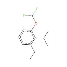 CCc1cccc(OC(F)F)c1C(C)C